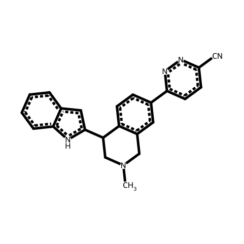 CN1Cc2cc(-c3ccc(C#N)nn3)ccc2C(c2cc3ccccc3[nH]2)C1